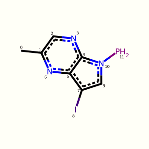 Cc1cnc2c(n1)c(I)cn2P